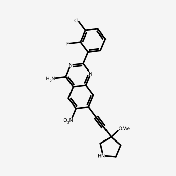 COC1(C#Cc2cc3nc(-c4cccc(Cl)c4F)nc(N)c3cc2[N+](=O)[O-])CCNC1